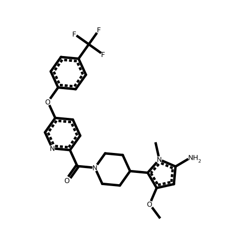 COc1cc(N)n(C)c1C1CCN(C(=O)c2ccc(Oc3ccc(C(F)(F)F)cc3)cn2)CC1